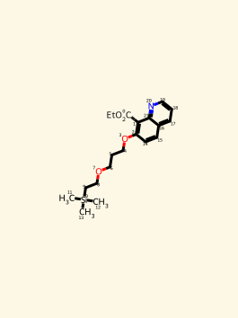 CCOC(=O)c1c(OCCCOCC[Si](C)(C)C)ccc2cccnc12